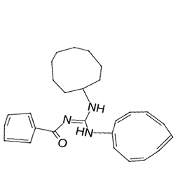 O=C(/N=C(\Nc1ccccccccc1)NC1CCCCCCCC1)c1ccccc1